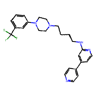 FC(F)(F)c1cccc(N2CCN(CCCCNc3cc(-c4ccncc4)ccn3)CC2)c1